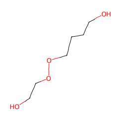 OCCCCOOCCO